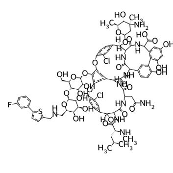 CN[C@H](CC(C)C)C(=O)NC1C(=O)NC(CC(N)=O)C(=O)N[C@H]2C(=O)N[C@H]3C(=O)N[C@H](C(=O)NC(C(=O)O)c4cc(O)cc(O)c4-c4cc3ccc4O)[C@H](OC3C[C@](C)(N)[C@@H](O)[C@H](C)O3)c3ccc(c(Cl)c3)Oc3cc2cc(c3O[C@@H]2O[C@H](CO)[C@@H](O[C@@H]3O[C@H](CNCc4ccc(-c5cccc(F)c5)s4)[C@H](O)[C@H](O)[C@H]3O)[C@H](O)[C@H]2O)Oc2ccc(cc2Cl)[C@H]1O